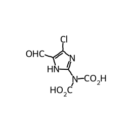 O=Cc1[nH]c(N(C(=O)O)C(=O)O)nc1Cl